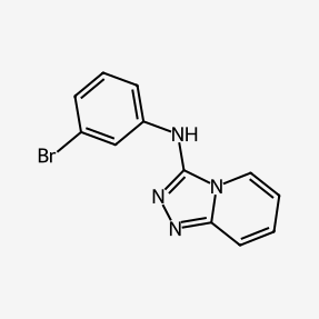 Brc1cccc(Nc2nnc3ccccn23)c1